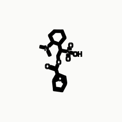 CN(C)C1CCCCC1C(COC(=O)c1cc2ccc1o2)S(=O)(=O)O